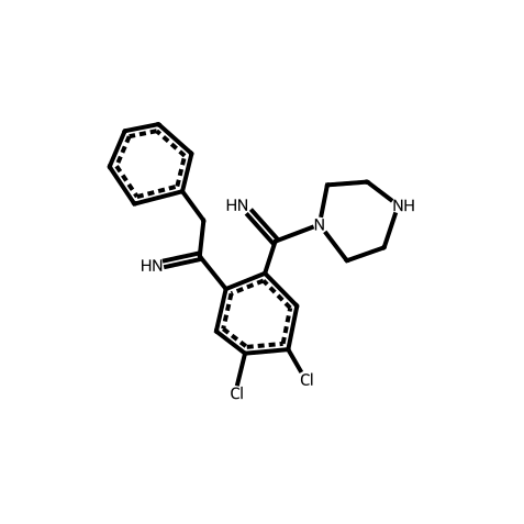 N=C(Cc1ccccc1)c1cc(Cl)c(Cl)cc1C(=N)N1CCNCC1